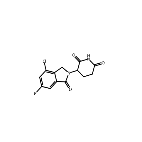 O=C1CCC(N2Cc3c(Cl)cc(F)cc3C2=O)C(=O)N1